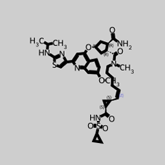 COc1ccc2c(O[C@@H]3C[C@@H](C(N)=O)[C@H](C(=O)N(C)CCCC/C=C\[C@@H]4C[C@@H]4C(=O)NS(=O)(=O)C4CC4)C3)cc(-c3csc(NC(C)C)n3)nc2c1